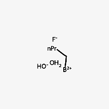 O.[B+2]CCCC.[F-].[OH-]